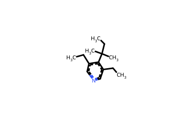 CCc1cncc(CC)c1C(C)(C)CC